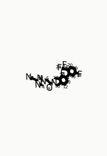 N#Cc1ncn(CC(=O)N2Cc3ccc(-c4cc(F)ccc4C(F)(F)F)cc3C2)n1